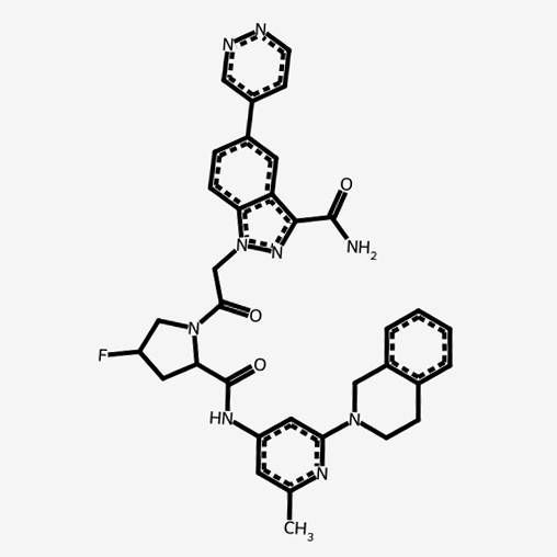 Cc1cc(NC(=O)C2CC(F)CN2C(=O)Cn2nc(C(N)=O)c3cc(-c4ccnnc4)ccc32)cc(N2CCc3ccccc3C2)n1